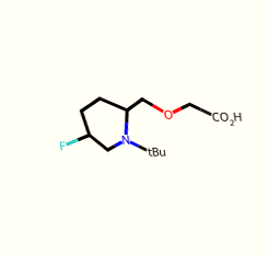 CC(C)(C)N1CC(F)CCC1COCC(=O)O